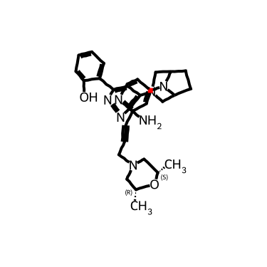 C[C@@H]1CN(CC#Cc2cc(N3C4CCC3CN(c3cc(-c5ccccc5O)nnc3N)C4)ccn2)C[C@H](C)O1